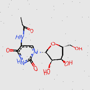 CC(=O)Nc1cn([C@@H]2O[C@H](CO)[C@@H](O)[C@H]2O)c(=O)[nH]c1=O